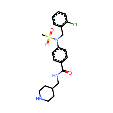 CS(=O)(=O)N(Cc1ccccc1Cl)c1ccc(C(=O)NCC2CCNCC2)cc1